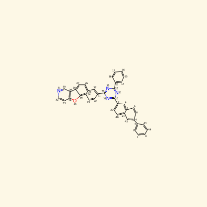 c1ccc(-c2ccc3cc(-c4nc(-c5ccccc5)nc(-c5ccc6c(ccc7c8cnccc8oc67)c5)n4)ccc3c2)cc1